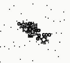 C[C@]12C=CC(=O)C=C1CC[C@@H]1[C@@H]2[C@@H](O)C[C@@]2(C)[C@H]1CC[C@]2(O)C(=O)COC(=O)C1CC=CCC1C(=O)[O-].[Na+]